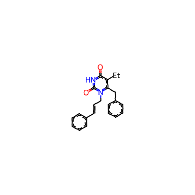 CCc1c(Cc2ccccc2)n(C/C=C/c2ccccc2)c(=O)[nH]c1=O